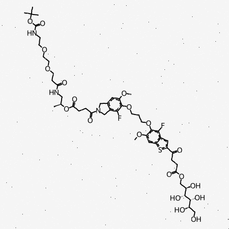 COc1cc2c(c(F)c1OCCCOc1c(OC)cc3sc(C(=O)CCC(=O)OC[C@@H](O)[C@@H](O)[C@H](O)[C@H](O)CO)cc3c1F)CN(C(=O)CCC(=O)O[C@@H](C)CNC(=O)CCOCCOCCNC(=O)OC(C)(C)C)C2